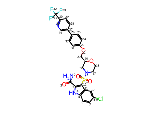 NC(=O)c1[nH]c2ccc(Cl)cc2c1S(=O)(=O)N1CCO[C@H](COc2ccc(-c3ccc(C(F)(F)F)nc3)cc2)C1